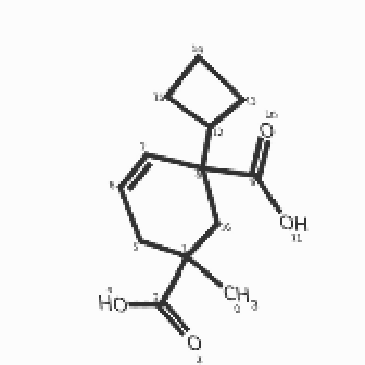 CC1(C(=O)O)CC=CC(C(=O)O)(C2CCC2)C1